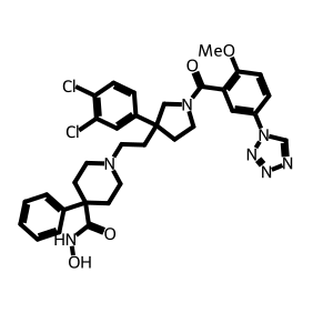 COc1ccc(-n2cnnn2)cc1C(=O)N1CCC(CCN2CCC(C(=O)NO)(c3ccccc3)CC2)(c2ccc(Cl)c(Cl)c2)C1